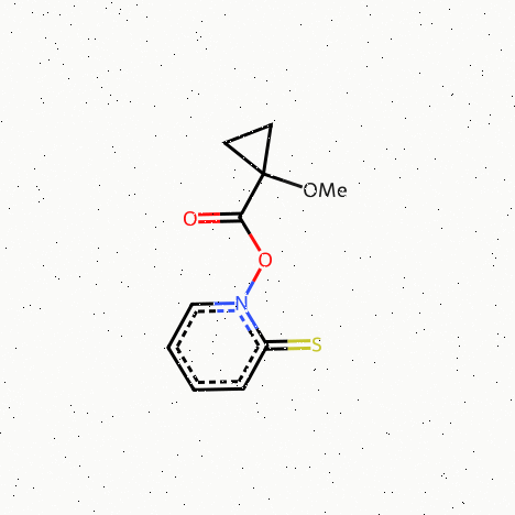 COC1(C(=O)On2ccccc2=S)CC1